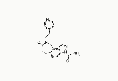 NC(=O)n1ncc2c3c(ccc21)C[C]C(=O)N(CCc1ccncc1)C3